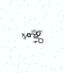 CC(C)(C)[S+]([O-])c1ccc(NC(=N)c2c(N[C@H]3CCCCC[C@H]3C#N)cc[nH]c2=O)cc1